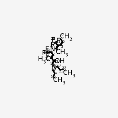 C=C\C=C/C(=C(C)/N=C(\C=C(/C)C(O)CN(CCCC)CCCC)C(F)(F)F)C(F)(F)F